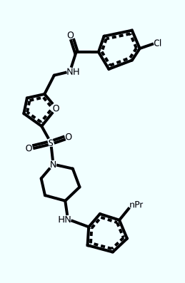 CCCc1cccc(NC2CCN(S(=O)(=O)c3ccc(CNC(=O)c4ccc(Cl)cc4)o3)CC2)c1